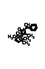 C[C@H](c1ccccc1)N1C(=O)[C@H](N2[Si](C)(C)CC[Si]2(C)C)[C@H]1C